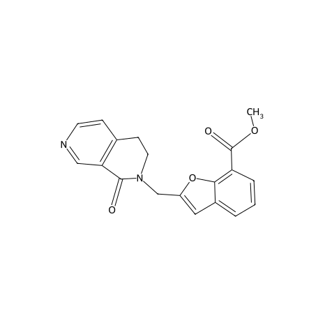 COC(=O)c1cccc2cc(CN3CCc4ccncc4C3=O)oc12